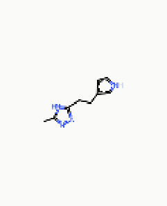 Cc1nnc(CCc2cc[nH]c2)[nH]1